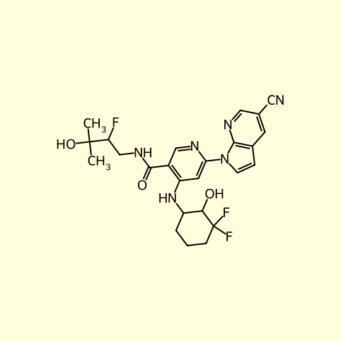 CC(C)(O)C(F)CNC(=O)c1cnc(-n2ccc3cc(C#N)cnc32)cc1NC1CCCC(F)(F)C1O